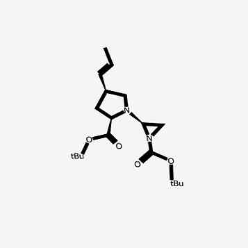 CC=C[C@@H]1C[C@H](C(=O)OC(C)(C)C)N([C@H]2CN2C(=O)OC(C)(C)C)C1